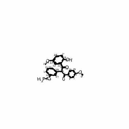 COc1ccc(C(=O)C(C(=O)c2cc(OC)ccc2O)c2cccc(OP)c2)cc1